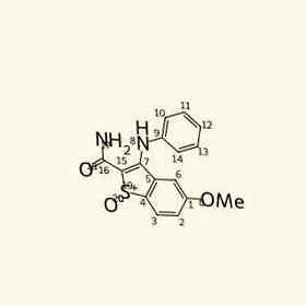 COc1ccc2c(c1)c(Nc1ccccc1)c(C(N)=O)[s+]2[O-]